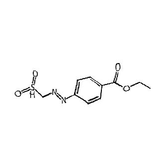 CCOC(=O)c1ccc(N=NC[SH](=O)=O)cc1